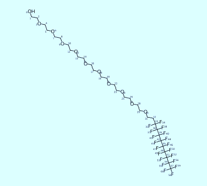 OCCOCCOCCOCCOCCOCCOCCOCCOCCOCCOCCC(F)(F)C(F)(F)C(F)(F)C(F)(F)C(F)(F)C(F)(F)C(F)(F)C(F)(F)C(F)(F)F